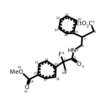 CCOC(=O)CC(CNC(=O)C(F)(F)c1ccc(C(=O)OC)cc1)c1ccccc1